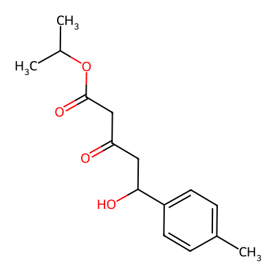 Cc1ccc(C(O)CC(=O)CC(=O)OC(C)C)cc1